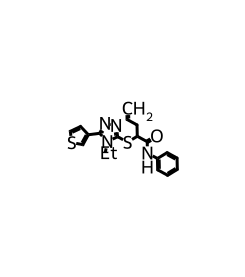 C=CCC(Sc1nnc(-c2ccsc2)n1CC)C(=O)Nc1ccccc1